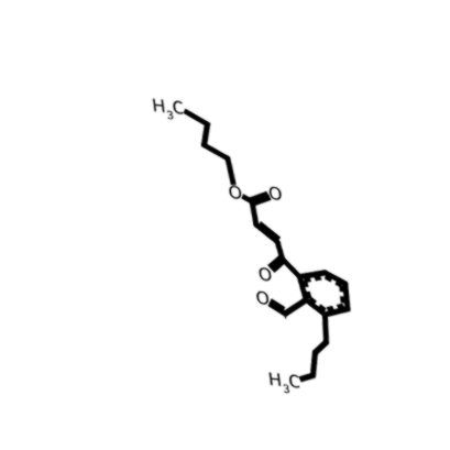 CCCCOC(=O)C=CC(=O)c1cccc(CCCC)c1[C]=O